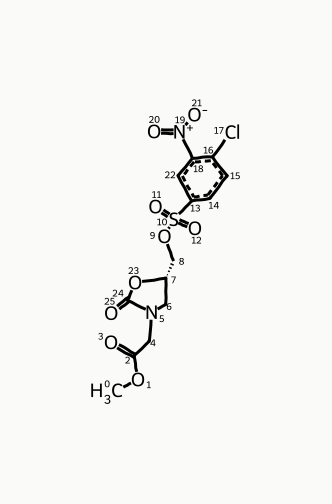 COC(=O)CN1C[C@@H](COS(=O)(=O)c2ccc(Cl)c([N+](=O)[O-])c2)OC1=O